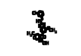 COc1cc(C(=O)N2C[C@H](C)OCC23CC(O)C3)cn2nc(NCc3cccc(Cl)c3)nc12